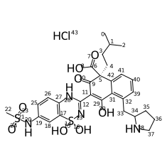 CC(C)CC[C@@]1(C(=O)O)C(=O)C(C2=NS(O)(O)c3cc(NS(C)(=O)=O)ccc3N2)=C(O)c2c(CC3CCCN3)cccc21.Cl